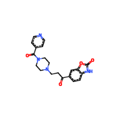 O=C(CCN1CCN(C(=O)c2ccncc2)CC1)c1ccc2[nH]c(=O)oc2c1